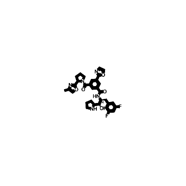 Cc1coc(C2CCCN2C(=O)c2cc(C(=O)N[C@@H](Cc3cc(F)cc(F)c3)[C@H](O)C3CCCN3)cc(-c3ncco3)c2)n1